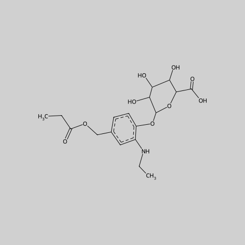 CCNc1cc(COC(=O)CC)ccc1OC1OC(C(=O)O)C(O)C(O)C1O